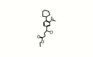 CCOC(=O)CCC(Cl)c1ccc(C2CCCCC2)c(N(C)C)c1